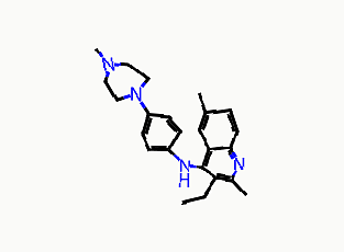 CCc1c(C)nc2ccc(C)cc2c1Nc1ccc(N2CCN(C)CC2)cc1